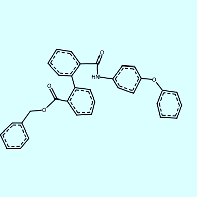 O=C(Nc1ccc(Oc2ccccc2)cc1)c1ccccc1-c1ccccc1C(=O)OCc1ccccc1